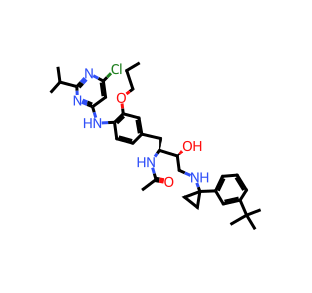 CCCOc1cc(C[C@H](NC(C)=O)[C@@H](O)CNC2(c3cccc(C(C)(C)C)c3)CC2)ccc1Nc1cc(Cl)nc(C(C)C)n1